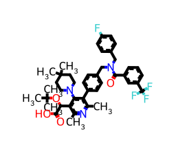 Cc1nc(C)c(C(OC(C)(C)C)C(=O)O)c(N2CCC(C)(C)CC2)c1-c1ccc(CN(Cc2ccc(F)cc2)C(=O)c2cccc(C(F)(F)F)c2)cc1